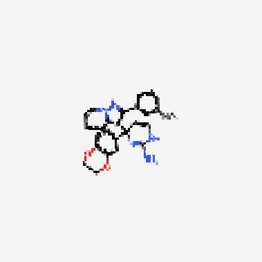 NC1=NC(c2ccc3c(c2)OCCO3)(c2c(-c3cccc([N+](=O)[O-])c3)nn3ccccc23)C=CN1